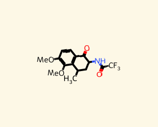 COc1ccc2c(c1OC)C(C)CC(NC(=O)C(F)(F)F)C2=O